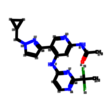 CC(=O)Nc1cc(Nc2ccnc(C(C)(F)F)n2)c(-c2ccn(CC3CC3)n2)cn1